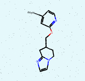 CNc1ccnc(OCC2CCn3ccnc3C2)c1